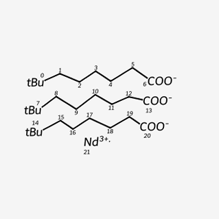 CC(C)(C)CCCCCC(=O)[O-].CC(C)(C)CCCCCC(=O)[O-].CC(C)(C)CCCCCC(=O)[O-].[Nd+3]